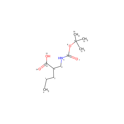 CCCC(CNC(=O)OC(C)(C)C)C(=O)O